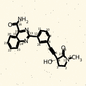 CN1CC[C@@](O)(C#Cc2cccc(-c3nc(C(N)=O)c4ccccc4n3)c2)C1=O